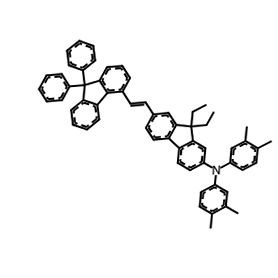 CCC1(CC)c2cc(/C=C/c3cccc4c3-c3ccccc3C4(c3ccccc3)c3ccccc3)ccc2-c2ccc(N(c3ccc(C)c(C)c3)c3ccc(C)c(C)c3)cc21